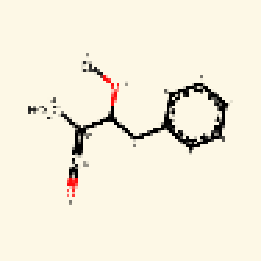 CCOC(Cc1ccccc1)C(=C=O)C(=O)O